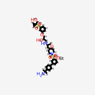 CCOc1ccc(-c2ccc(C(C)(C)N)cc2)cc1S(=O)(=O)N1CCC2(CC1)C[C@H](NC[C@H](O)COc1cccc(S(=O)(=O)C3(CO)CC3)c1)CO2